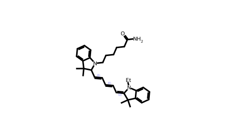 CCN1\C(=C/C=C/C=C/C2N(CCCCCC(N)=O)c3ccccc3C2(C)C)C(C)(C)c2ccccc21